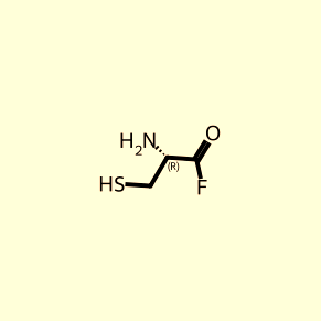 N[C@@H](CS)C(=O)F